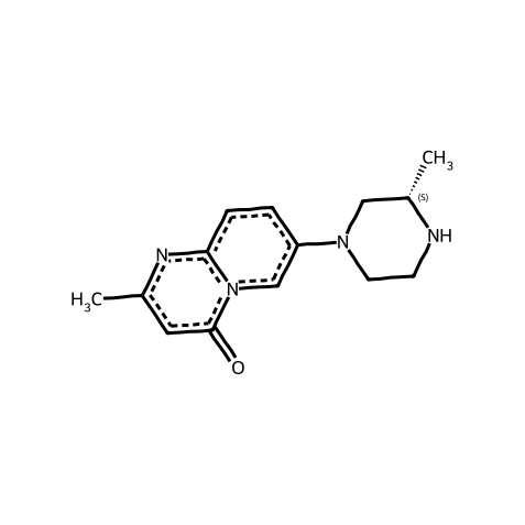 Cc1cc(=O)n2cc(N3CCN[C@@H](C)C3)ccc2n1